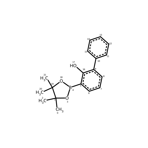 CC1(C)OB(c2cccc(-c3ccccc3)c2O)OC1(C)C